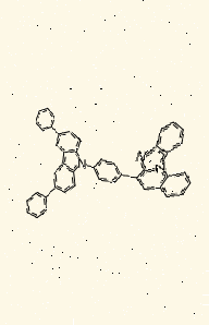 c1ccc(-c2ccc3c(c2)c2cc(-c4ccccc4)ccc2n3-c2ccc(-c3cc4ccccc4n4c3nc3ccccc34)cc2)cc1